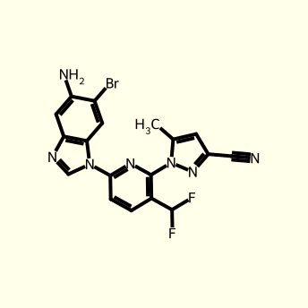 Cc1cc(C#N)nn1-c1nc(-n2cnc3cc(N)c(Br)cc32)ccc1C(F)F